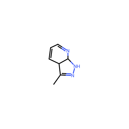 CC1=NNC2N=CC=CC12